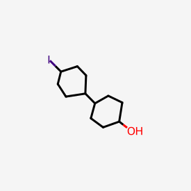 OC1CCC(C2CCC(I)CC2)CC1